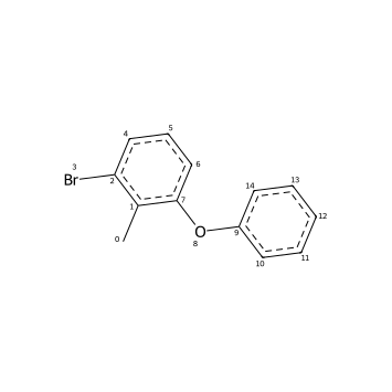 Cc1c(Br)cccc1Oc1ccccc1